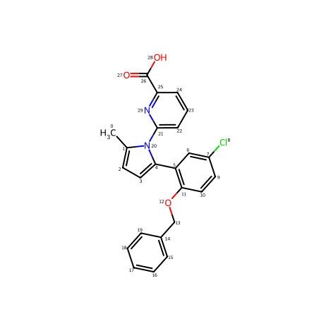 Cc1ccc(-c2cc(Cl)ccc2OCc2ccccc2)n1-c1cccc(C(=O)O)n1